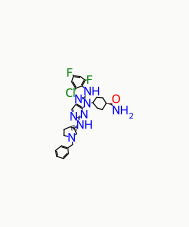 NC(=O)[C@H]1CC[C@H](n2c(Nc3c(F)cc(F)cc3Cl)nc3cnc(N[C@@H]4CCCN(Cc5ccccc5)C4)nc32)CC1